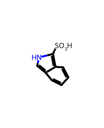 O=S(=O)(O)c1[nH]cc2ccccc12